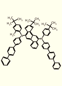 Cc1cc(C(C)(C)C)ccc1N(c1ccc(-c2ccc(-c3ccccc3)cc2)cc1)c1cc2c3ccccc3c(N(c3ccc(-c4ccc(-c5ccccc5)cc4)cc3)c3ccc(C(C)(C)C)cc3)cc2c2cc(C(C)(C)C)ccc12